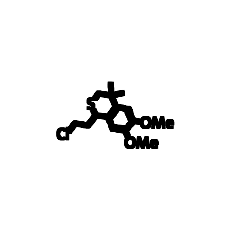 COc1cc2c(cc1OC)C(C)(C)CSC2CCCl